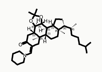 CC(C)CCC[C@@H](C)[C@H]1CC[C@H]2[C@@H]3[C@H]4OC(C)(C)O[C@@H]4[C@H]4CC(=O)C(=CN5CCCCC5)C[C@]4(C)[C@H]3CC[C@]12C